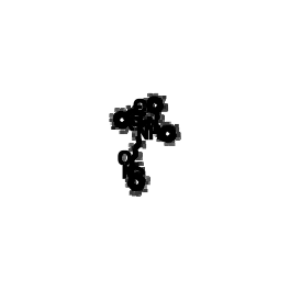 O=C(CCCCNC(=O)[C@H](CS(=O)(=O)Cc1ccccc1)N(Cc1ccccc1)Cc1ccccc1)c1nc2ccccc2s1